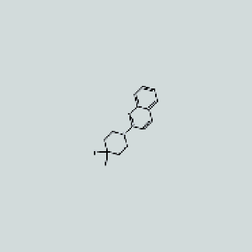 FC1(F)CCN(c2ccc3ccccc3n2)CC1